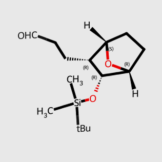 CC(C)(C)[Si](C)(C)O[C@@H]1[C@H](CCC=O)[C@@H]2CC[C@H]1O2